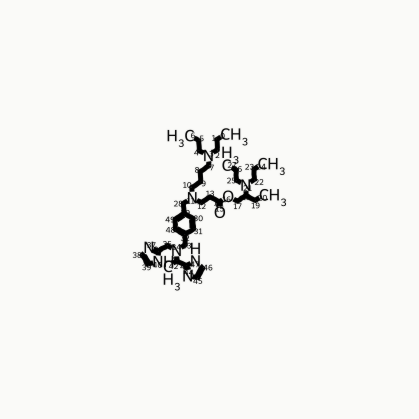 CCCN(CCC)CCCCN(CCC(=O)OCC(CC)N(CCC)CCC)Cc1ccc(CN(Cc2ncc[nH]2)C(C)c2ncc[nH]2)cc1